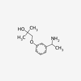 CC(N)c1cccc(OCC(C)(C)O)c1